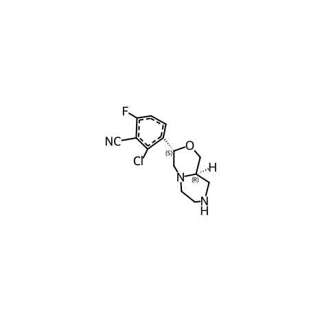 N#Cc1c(F)ccc([C@H]2CN3CCNC[C@@H]3CO2)c1Cl